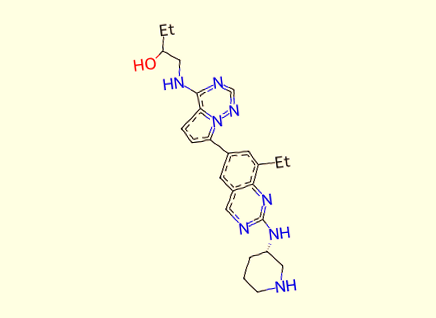 CCc1cc(-c2ccc3c(NCC(O)CC)ncnn23)cc2cnc(N[C@H]3CCCNC3)nc12